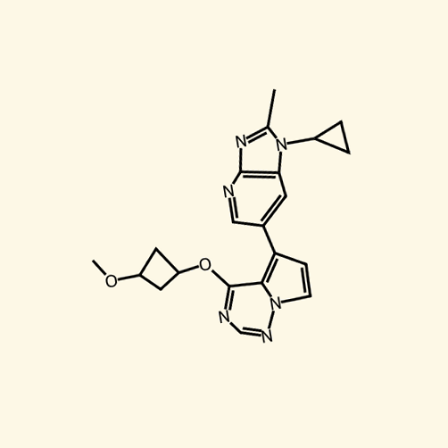 COC1CC(Oc2ncnn3ccc(-c4cnc5nc(C)n(C6CC6)c5c4)c23)C1